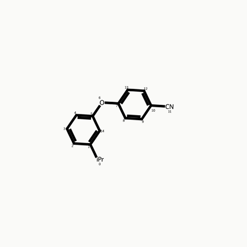 CC(C)c1cccc(Oc2ccc(C#N)cc2)c1